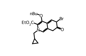 CCCCOC1=C(C(=O)OCC)N(CC2CC2)C=C2CC(=O)C(Br)C=C21